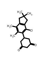 Cc1c(C)c(C2CC(=O)CC(=O)C2)c(Cl)c2c1CC(C)(C)C2